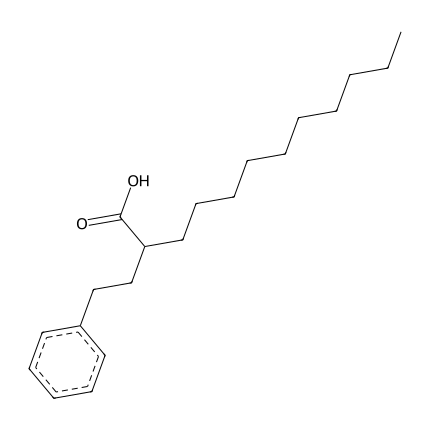 CCCCCCCCCCC(CCc1ccccc1)C(=O)O